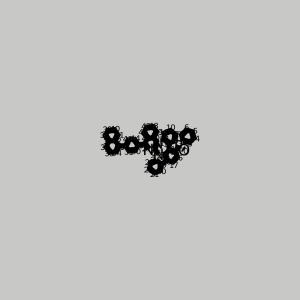 O=P1(c2ccccc2)c2ccccc2-c2c1ccc1c3ccccc3n(-c3nc(-c4ccc(-c5cccc6ccccc56)cc4)c4ccccc4n3)c21